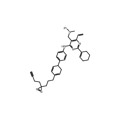 C#CCCC1(CCCC2=CCC(c3ccc(Nc4nc(C5=CCCCC5)nc(C=C)c4CN(C)C(C)C)cc3)C=C2)N=N1